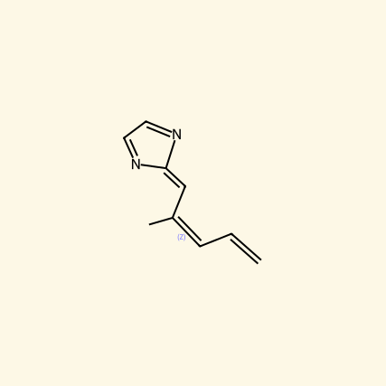 C=C/C=C(/C)C=C1N=CC=N1